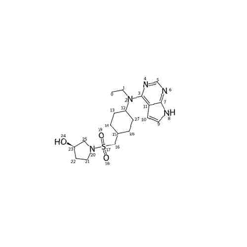 CCN(c1ncnc2[nH]ccc12)C1CCC(CS(=O)(=O)N2CC[C@@H](O)C2)CC1